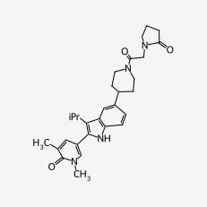 Cc1cc(-c2[nH]c3ccc(C4CCN(C(=O)CN5CCCC5=O)CC4)cc3c2C(C)C)cn(C)c1=O